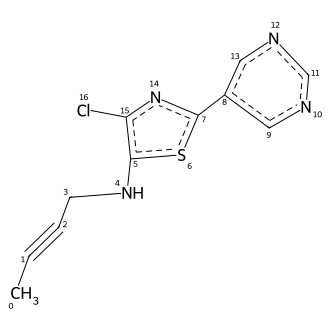 CC#CCNc1sc(-c2cncnc2)nc1Cl